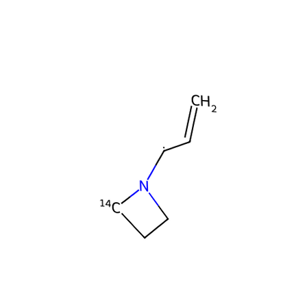 C=C[CH]N1CC[14CH2]1